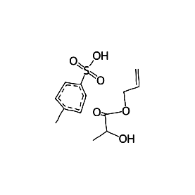 C=CCOC(=O)C(C)O.Cc1ccc(S(=O)(=O)O)cc1